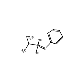 CCOC(=O)C(C)P(O)(O)=Nc1ccccc1